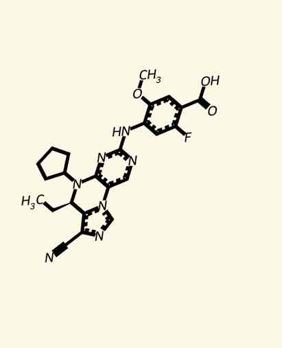 CC[C@@H]1c2c(C#N)ncn2-c2cnc(Nc3cc(F)c(C(=O)O)cc3OC)nc2N1C1CCCC1